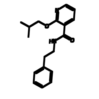 CC(C)COc1ncccc1C(=O)NCCc1ccccc1